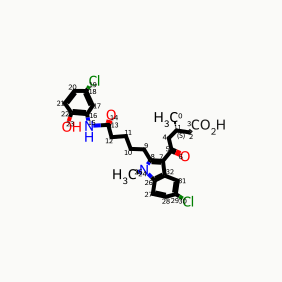 C[C@H](CC(=O)O)CC(=O)c1c(CCCCC(=O)Nc2cc(Cl)ccc2O)n(C)c2ccc(Cl)cc12